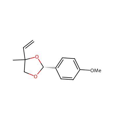 C=CC1(C)CO[C@@H](c2ccc(OC)cc2)O1